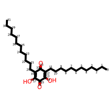 CCCCCCCCCCCCC1=C(O)C(=O)C(O)=C(CCCCCCCCCCCC)C1=O